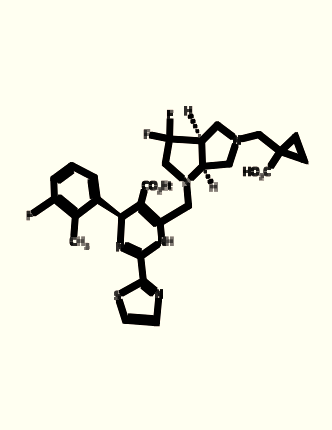 CCOC(=O)C1=C(CN2CC(F)(F)[C@H]3CN(CC4(C(=O)O)CC4)C[C@H]32)NC(c2nccs2)=N[C@H]1c1cccc(F)c1C